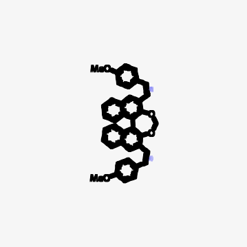 COc1ccc(/C=C\c2cc3ccccc3c3c2OCOc2c(/C=C\c4ccc(OC)cc4)cc4ccccc4c2-3)cc1